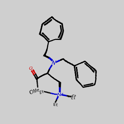 CC[N+](CC)(CC)CC(C(=O)OC)N(Cc1ccccc1)Cc1ccccc1